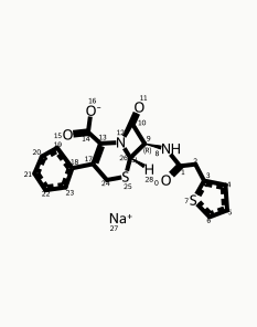 O=C(Cc1cccs1)N[C@@H]1C(=O)N2C(C(=O)[O-])=C(c3ccccc3)CS[C@@H]12.[Na+]